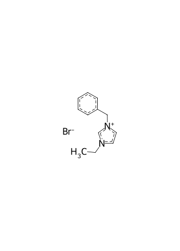 CCn1cc[n+](Cc2ccccc2)c1.[Br-]